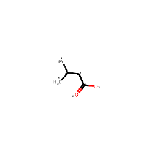 CC(C)C(C)CC([O])=O